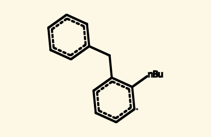 CCCCc1[c]cccc1Cc1ccccc1